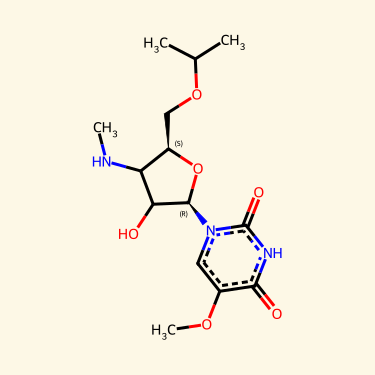 CNC1C(O)[C@H](n2cc(OC)c(=O)[nH]c2=O)O[C@@H]1COC(C)C